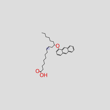 CCCCCCC(C/C=C\CCCCCCCC(=O)O)Oc1cccc2cc3ccccc3cc12